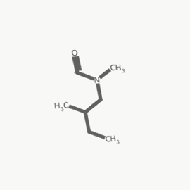 CCC(C)CN(C)[C]=O